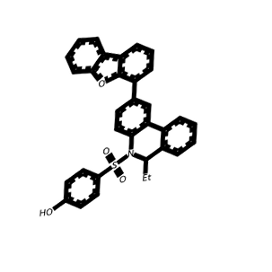 CCC1c2ccccc2-c2cc(-c3cccc4c3oc3ccccc34)ccc2N1S(=O)(=O)c1ccc(O)cc1